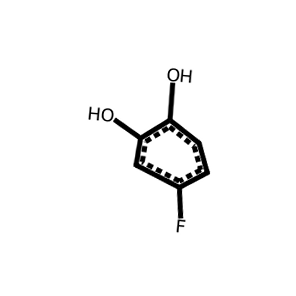 Oc1ccc(F)cc1O